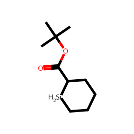 CC(C)(C)OC(=O)C1CCCC[SiH2]1